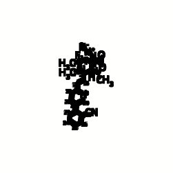 C[C@H]1OC(=O)[C@]2(N=[N+]=[N-])CC(C)(F)[C@@H](C)[C@H](/C=C/c3ccc(-c4ccccc4C#N)cn3)[C@H]12